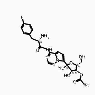 CC(C)C(=O)O[C@H]1[C@@H](O)[C@](C#N)(c2ccc3c(NC(=O)[C@@H](N)Cc4ccc(F)cc4)ncnn23)O[C@@H]1CO